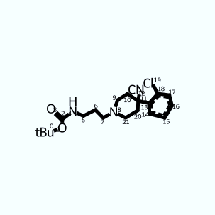 CC(C)(C)OC(=O)NCCCN1CCC(C#N)(c2ccccc2Cl)CC1